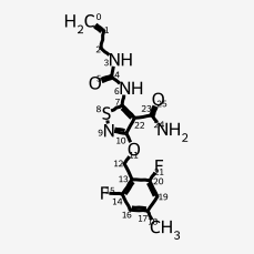 C=CCNC(=O)Nc1snc(OCc2c(F)cc(C)cc2F)c1C(N)=O